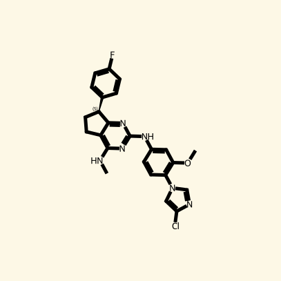 CNc1nc(Nc2ccc(-n3cnc(Cl)c3)c(OC)c2)nc2c1CC[C@H]2c1ccc(F)cc1